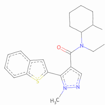 Cn1ncc(C(=O)N2CCCC3CCCCC32)c1-c1cc2ccccc2s1